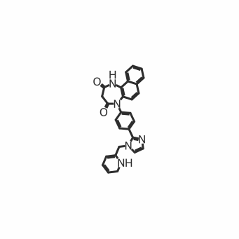 O=C1CC(=O)N(c2ccc(-c3nccn3CC3=CC=CCN3)cc2)c2ccc3ccccc3c2N1